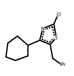 CC(C)Cc1sc(Cl)nc1C1CCCCC1